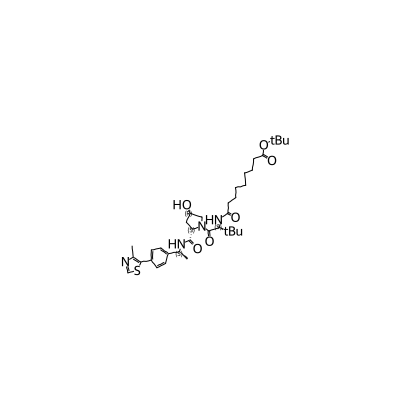 Cc1ncsc1-c1ccc([C@H](C)NC(=O)[C@@H]2C[C@@H](O)CN2C(=O)[C@@H](NC(=O)CCCCCCCC(=O)OC(C)(C)C)C(C)(C)C)cc1